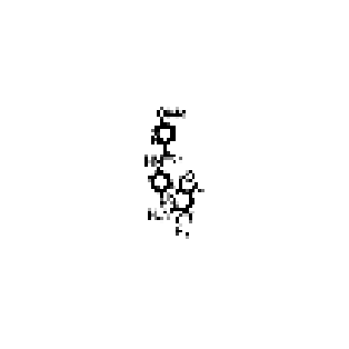 COc1ccc(C(=O)Nc2ccc(F)c([C@]34COC[C@@]3(F)C[C@](C)(F)C(N)=N4)c2)nc1